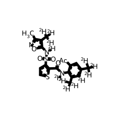 [2H]c1c(C([2H])([2H])[2H])cc(C(C)=O)c(N([2H])C(=O)c2sccc2S(=O)(=O)N([2H])c2onc(C)c2C([2H])([2H])[2H])c1C([2H])([2H])[2H]